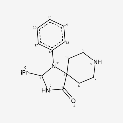 CC(C)C1NC(=O)C2(CCNCC2)N1c1ccccc1